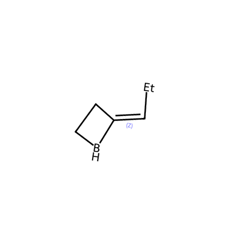 CC/C=C1/BCC1